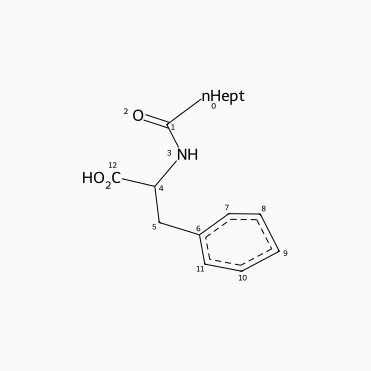 CCCCCCCC(=O)NC(Cc1ccccc1)C(=O)O